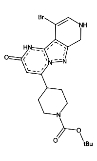 CC(C)(C)OC(=O)N1CCC(c2cc(=O)[nH]c3c4c(nn23)CNC=C4Br)CC1